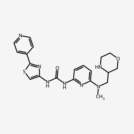 CN(CC1COCCN1)c1cccc(NC(=O)Nc2csc(-c3ccncc3)n2)n1